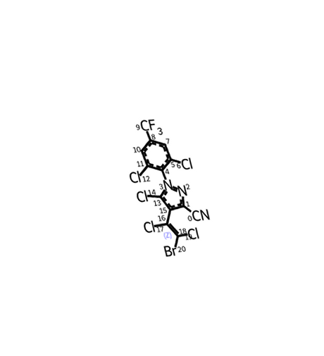 N#Cc1nn(-c2c(Cl)cc(C(F)(F)F)cc2Cl)c(Cl)c1/C(Cl)=C(\Cl)Br